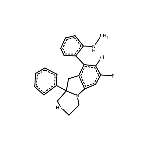 CNc1ccccc1-c1c(Cl)c(F)cc2c1CC1(c3ccccc3)CNCCN21